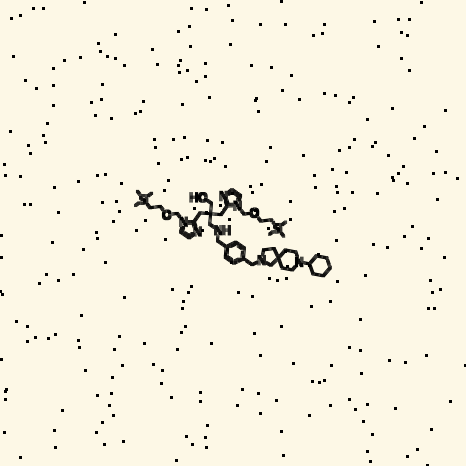 C[Si](C)(C)CCOCn1ccnc1CC(CO)(CNCc1ccc(CN2CCC3(CCN(C4CCCCC4)CC3)C2)cc1)Cc1nccn1COCC[Si](C)(C)C